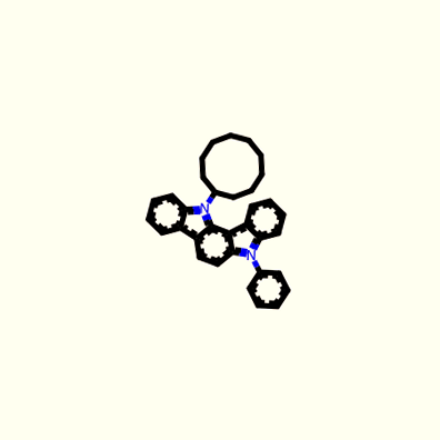 c1ccc(-n2c3ccccc3c3c2ccc2c4ccccc4n(C4CCCCCCCCC4)c23)cc1